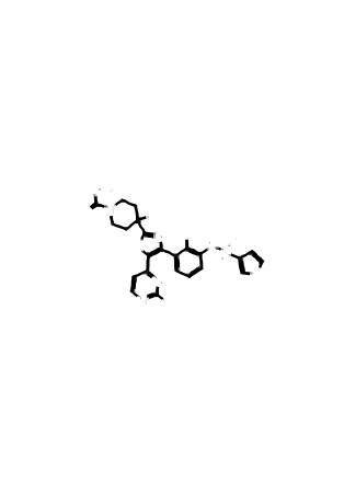 CC(C)COC(=O)N1CCC(C)(c2nc(-c3cccc(NS(=O)(=O)c4ccoc4)c3F)c(-c3ccnc(Cl)n3)s2)CC1